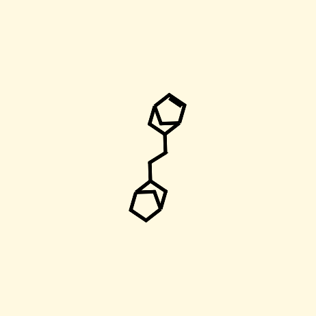 [CH](CC1CC2CCC1C2)C1CC2C=CC1C2